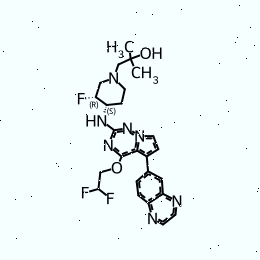 CC(C)(O)CN1CC[C@H](Nc2nc(OCC(F)F)c3c(-c4ccc5nccnc5c4)ccn3n2)[C@H](F)C1